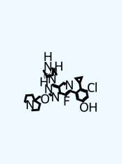 Oc1cc(Cl)c(C2CC2)c(-c2ncc3c(N4C[C@H]5C[C@@H]4CN5)nc(OCC45CCCN4CCC5)nc3c2F)c1